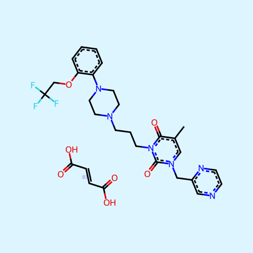 Cc1cn(Cc2cnccn2)c(=O)n(CCCN2CCN(c3ccccc3OCC(F)(F)F)CC2)c1=O.O=C(O)/C=C/C(=O)O